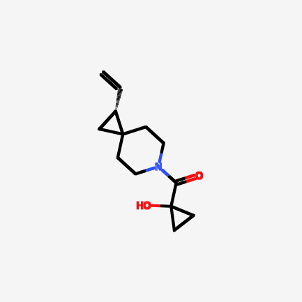 C=C[C@H]1CC12CCN(C(=O)C1(O)CC1)CC2